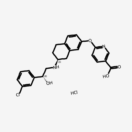 Cl.O=C(O)c1ccc(Oc2ccc3c(c2)C[C@@H](NC[C@H](O)c2cccc(Cl)c2)CC3)nc1